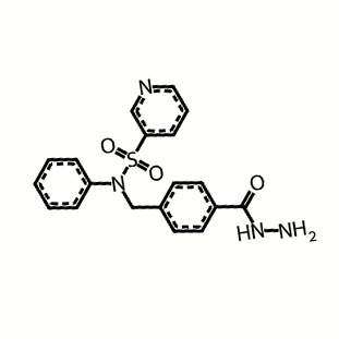 NNC(=O)c1ccc(CN(c2ccccc2)S(=O)(=O)c2cccnc2)cc1